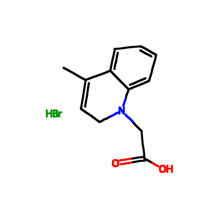 Br.CC1=CCN(CC(=O)O)c2ccccc21